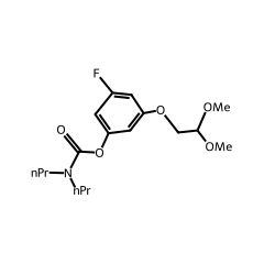 CCCN(CCC)C(=O)Oc1cc(F)cc(OCC(OC)OC)c1